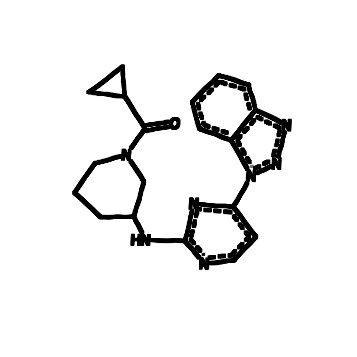 O=C(C1CC1)N1CCCC(Nc2nccc(-n3nnc4ccccc43)n2)C1